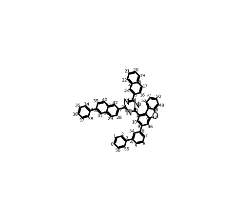 c1ccc(-c2cccc(-c3cc(-c4nc(-c5ccc6ccccc6c5)nc(-c5ccc6cc(-c7ccccc7)ccc6c5)n4)c4c(c3)oc3ccccc34)c2)cc1